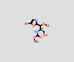 CCOC(c1ncc(Br)o1)[C@@H](CO)NC(=O)OC(C)(C)C